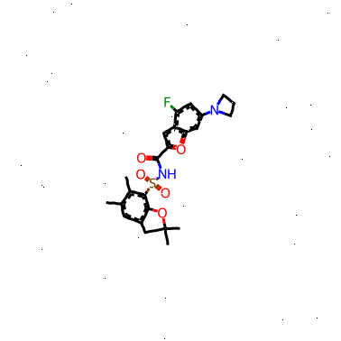 Cc1cc2c(c(S(=O)(=O)NC(=O)c3cc4c(F)cc(N5CCC5)cc4o3)c1C)OC(C)(C)C2